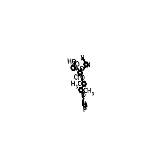 Cc1c(COc2cc(OCc3cncc(C#N)c3)c(CN3CCCC[C@H]3C(=O)O)cc2Cl)cccc1-c1cccc(OCCCN2CC[C@H](F)C2)c1C